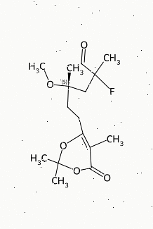 CO[C@@](C)(CCC1=C(C)C(=O)OC(C)(C)O1)CC(C)(F)C=O